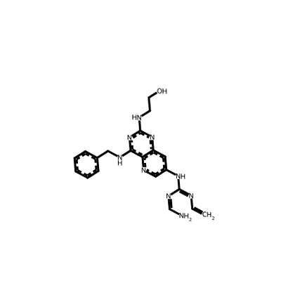 C=C/N=C(\N=C/N)Nc1cnc2c(NCc3ccccc3)nc(NCCO)nc2c1